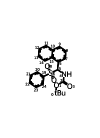 CC(C)(C)OC(=O)NC(c1cccc2ccccc12)S(=O)(=O)c1ccccc1